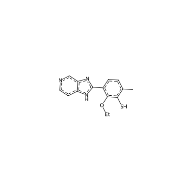 CCOc1c(-c2nc3cnccc3[nH]2)ccc(C)c1S